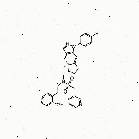 C[C@]12Cc3cnn(-c4ccc(F)cc4)c3C=C1CC[C@@H]2CN(CCc1ccccc1O)S(=O)(=O)Cc1cccnc1